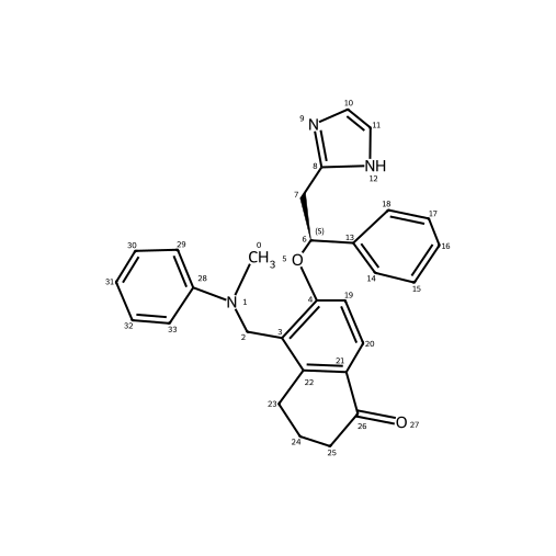 CN(Cc1c(O[C@@H](Cc2ncc[nH]2)c2ccccc2)ccc2c1CCCC2=O)c1ccccc1